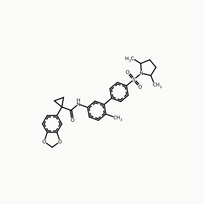 Cc1ccc(NC(=O)C2(c3ccc4c(c3)OCO4)CC2)cc1-c1ccc(S(=O)(=O)N2C(C)CCC2C)cc1